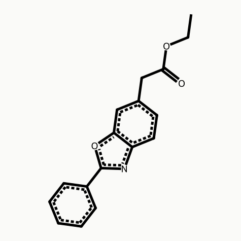 CCOC(=O)Cc1ccc2nc(-c3ccccc3)oc2c1